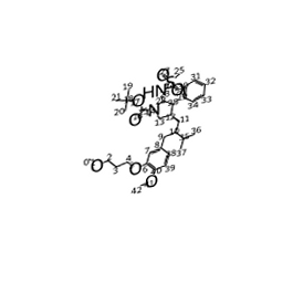 COCCCOc1cc(CC(C[C@H]2CN(C(=O)OC(C)(C)C)C(NS(C)(=O)=O)[C@@H]2c2ccccc2)C(C)C)ccc1OC